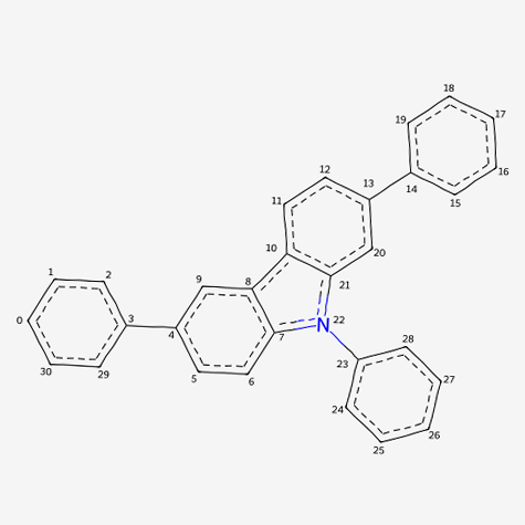 c1ccc(-c2ccc3c(c2)c2ccc(-c4ccccc4)cc2n3-c2ccccc2)cc1